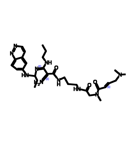 CCCNC(=N/C(CC)Nc1ccc2nnccc2c1)/C(=C\N)C(=O)NCCCNC(=O)CN(C)C(=O)/C=C/CN(C)C